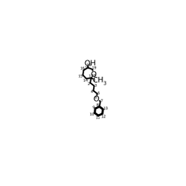 CC1(CCCCOCc2ccccc2)CCCC(O)CO1